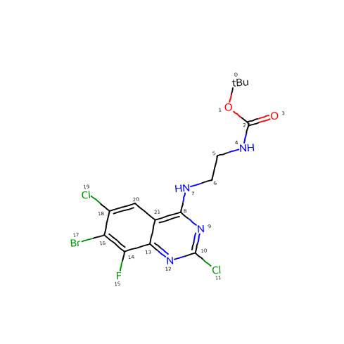 CC(C)(C)OC(=O)NCCNc1nc(Cl)nc2c(F)c(Br)c(Cl)cc12